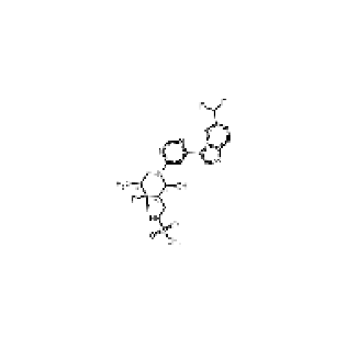 C[C@H]1[C@@H](CNS(C)(=O)=O)C(F)(F)[C@@H](C)CN1c1cc(-c2cnc3ccc(C(F)F)nn23)ncn1